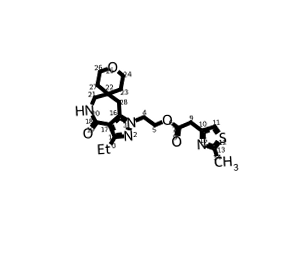 CCc1nn(CCOC(=O)Cc2csc(C)n2)c2c1C(=O)NCC1(CCOCC1)C2